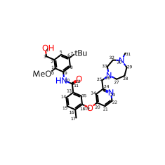 COc1c(CO)cc(C(C)(C)C)cc1NC(=O)c1ccc(C)c(Oc2ccnc(CN3CCCN(C)CC3)c2)c1